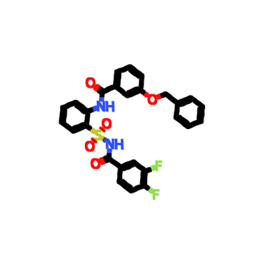 O=C(Nc1ccccc1S(=O)(=O)NC(=O)c1ccc(F)c(F)c1)c1cccc(OCc2ccccc2)c1